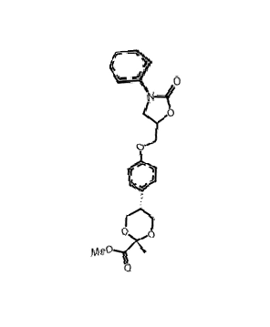 COC(=O)[C@]1(C)OC[C@H](c2ccc(OCC3CN(c4ccccc4)C(=O)O3)cc2)CO1